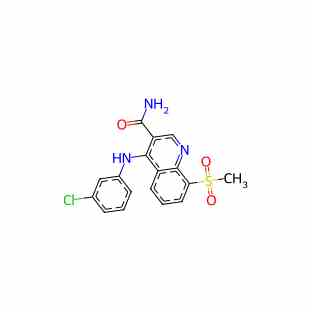 CS(=O)(=O)c1cccc2c(Nc3cccc(Cl)c3)c(C(N)=O)cnc12